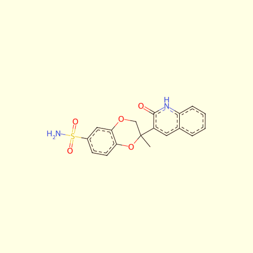 CC1(c2cc3ccccc3[nH]c2=O)COc2cc(S(N)(=O)=O)ccc2O1